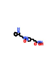 O=C(CCCC1CCN(C(=O)NCCCc2c[nH]c3ccccc23)CC1)NO